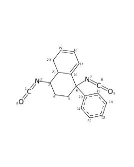 O=C=NC1CCC(N=C=O)(c2ccccc2)C2=CC=CCC21